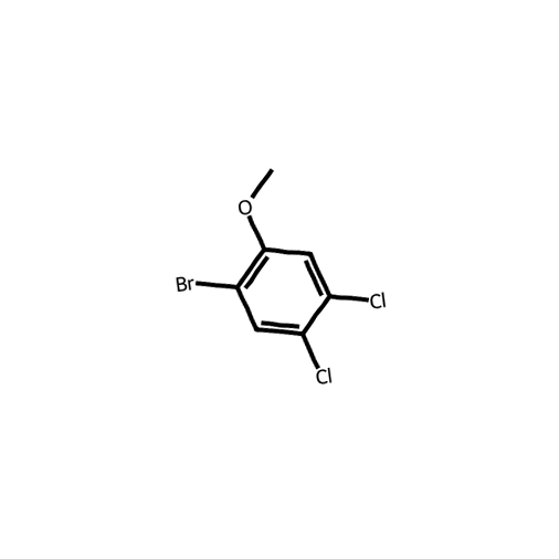 COc1cc(Cl)c(Cl)cc1Br